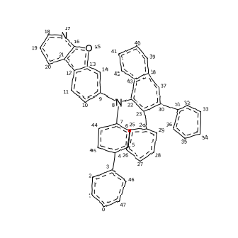 c1ccc(-c2ccc(N(c3ccc4c(c3)oc3ncccc34)c3c(-c4ccccc4)c(-c4ccccc4)cc4ccccc34)cc2)cc1